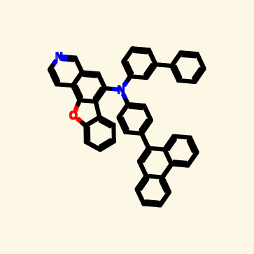 c1ccc(-c2cccc(N(c3ccc(-c4cc5ccccc5c5ccccc45)cc3)c3cc4cnccc4c4oc5ccccc5c34)c2)cc1